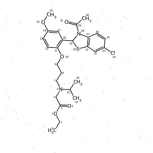 CCOC(=O)CN(CCCOc1ccc(OC)cc1C1Sc2cc(Cl)ccc2N1C(C)=O)C(C)C